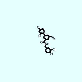 O=C(NCc1ccc(Cl)c(Cl)c1)c1cc(CBr)cc(-c2ccc(F)cc2Cl)c1